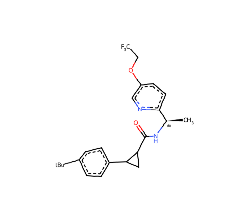 C[C@@H](NC(=O)C1CC1c1ccc(C(C)(C)C)cc1)c1ccc(OCC(F)(F)F)cn1